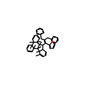 CC1=CC=CC2C(C(C3=CC=CC3)=C(Cc3ccccc3)Cc3ccccc3)C3(C)C4(C)C=CC=CC4(C)C4(C)C=CC=CC4(C)C3(C)C12C